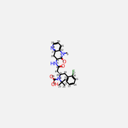 CN1C(=O)C(NC(=O)C[C@@H](Cc2ccccc2F)N(C(=O)O)C(C)(C)C)Cc2ncccc21